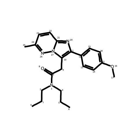 CCCN(CCC)C(=O)Cc1c(-c2ccc(OC)cc2)nc2ccc(C)nn12